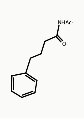 CC(=O)[N]C(=O)CCCc1ccccc1